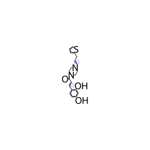 O=C(/C=C/c1ccc(O)cc1O)N1CCN(/C=C/Cc2cccs2)CC1